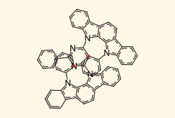 C1=C=Cc2c(c3ccc4c5ccccc5n(-c5cc(-n6c7ccccc7c7ccc8c9ccccc9n(-c9ccccc9)c8c76)nc(-c6ccccc6)n5)c4c3n2-c2ccccc2)C=1